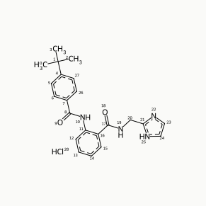 CC(C)(C)c1ccc(C(=O)Nc2ccccc2C(=O)NCc2ncc[nH]2)cc1.Cl